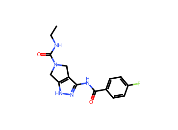 CCNC(=O)N1Cc2[nH]nc(NC(=O)c3ccc(F)cc3)c2C1